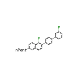 CCCCCc1ccc2c(F)c(-c3ccc(-c4cccc(F)c4)cc3)ccc2c1